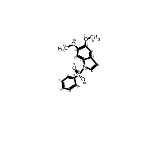 COc1cc2ccn(S(=O)(=O)c3ccccc3)c2cc1OC